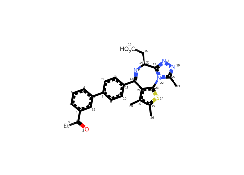 CCC(=O)c1cccc(-c2ccc(C3=N[C@@H](CC(=O)O)c4nnc(C)n4-c4sc(C)c(C)c43)cc2)c1